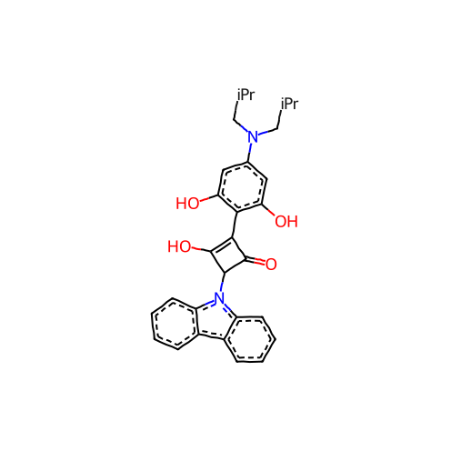 CC(C)CN(CC(C)C)c1cc(O)c(C2=C(O)C(n3c4ccccc4c4ccccc43)C2=O)c(O)c1